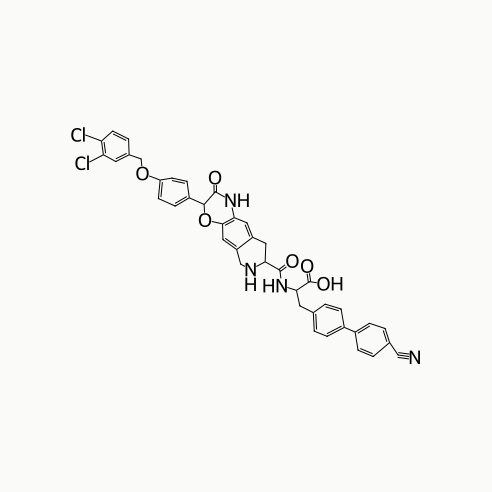 N#Cc1ccc(-c2ccc(CC(NC(=O)C3Cc4cc5c(cc4CN3)OC(c3ccc(OCc4ccc(Cl)c(Cl)c4)cc3)C(=O)N5)C(=O)O)cc2)cc1